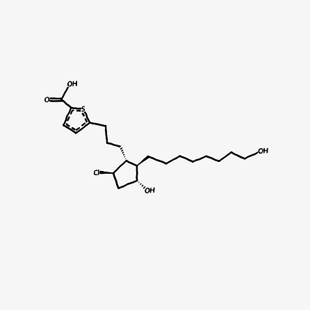 O=C(O)c1ccc(CCC[C@@H]2[C@@H](CCCCCCCCO)[C@H](O)C[C@H]2Cl)s1